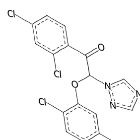 O=C(c1ccc(Cl)cc1Cl)C(Oc1cc(Cl)ccc1Cl)n1cncn1